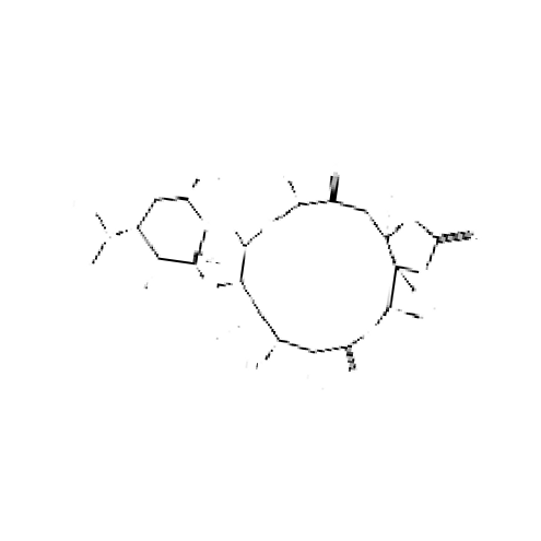 CC[C@H]1OC(=O)[C@H](C)[C@@H](O)[C@H](C)[C@@H](O[C@@H]2O[C@H](C)C[C@H](N(C)C)[C@H]2OC(C)=O)[C@](C)(OC)C[C@@H](C)C(=O)[C@H](C)[C@H]2OC(=O)O[C@@]21C